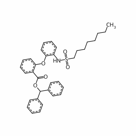 CCCCCCCCS(=O)(=O)Nc1ccccc1Oc1ccccc1C(=O)OC(c1ccccc1)c1ccccc1